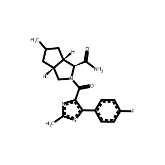 Cc1nc(C(=O)N2C[C@@H]3CC(C)C[C@@H]3[C@H]2C(N)=O)c(-c2ccc(F)cc2)s1